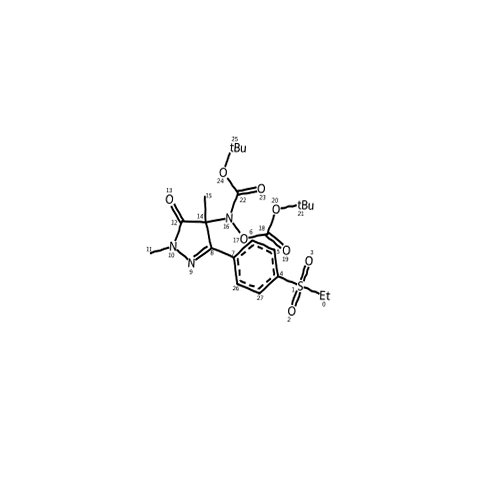 CCS(=O)(=O)c1ccc(C2=NN(C)C(=O)C2(C)N(OC(=O)OC(C)(C)C)C(=O)OC(C)(C)C)cc1